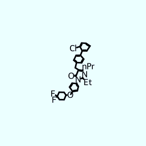 CCCc1nc(CC)n(-c2ccc(OC3CCC(F)(F)CC3)cc2)c(=O)c1Cc1ccc(-c2ccccc2Cl)cc1